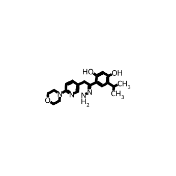 CC(C)c1cc(C(Cc2ccc(N3CCOCC3)nc2)=NN)c(O)cc1O